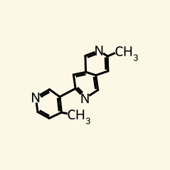 Cc1cc2cnc(-c3cnccc3C)cc2cn1